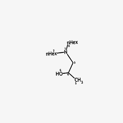 CCCCCCN(CCCCCC)CC(C)O